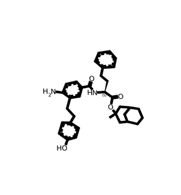 CC1(OC(=O)[C@H](CCc2ccccc2)NC(=O)c2ccc(N)c(CCc3ccc(O)cc3)c2)CC2CCCC(C2)C1